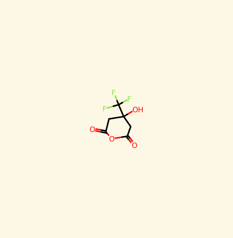 O=C1CC(O)(C(F)(F)F)CC(=O)O1